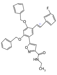 CCNC(=O)c1cc(-c2cc(/C=C/c3cccc(F)c3)c(OCc3ccccc3)cc2OCc2ccccc2)on1